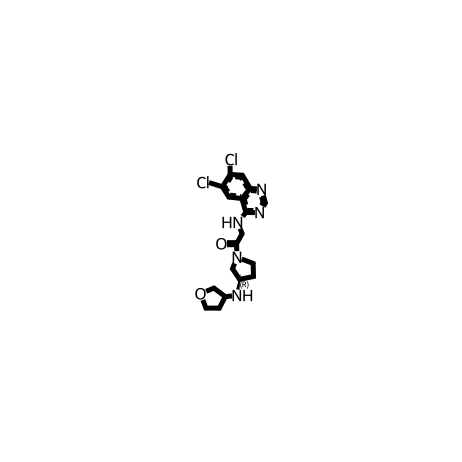 O=C(CNc1ncnc2cc(Cl)c(Cl)cc12)N1CC[C@@H](NC2CCOC2)C1